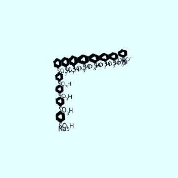 O=S(=O)(O)c1ccccc1.O=S(=O)(O)c1ccccc1.O=S(=O)(O)c1ccccc1.O=S(=O)(O)c1ccccc1.O=S(=O)(O)c1ccccc1.O=S(=O)(O)c1ccccc1.O=S(=O)(O)c1ccccc1.O=S(=O)(O)c1ccccc1.O=S(=O)(O)c1ccccc1.O=S(=O)(O)c1ccccc1.O=S(=O)(O)c1ccccc1.O=S(=O)([O-])c1ccccc1.[Na+]